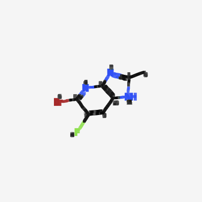 Cc1nc2nc(Br)c(F)cc2[nH]1